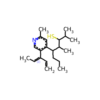 C=C/C(=C/C)c1cnc(C)cc1C(CCC)C(C)C(S)C(C)C